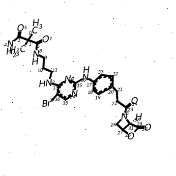 CC(C)(C(N)=O)C(=O)NCCCNc1nc(Nc2ccc(CCC(=O)N3CC4OC(=O)[C@@H]43)cc2)ncc1Br